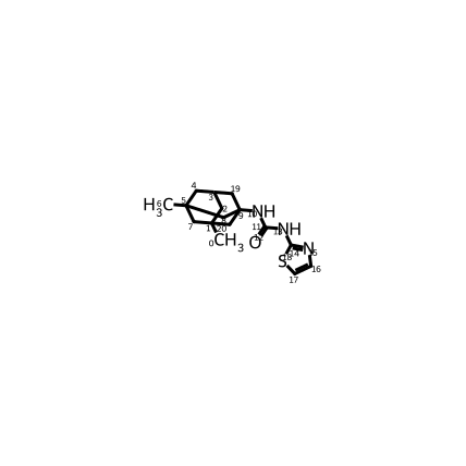 CC12CC3CC(C)(C1)CC(NC(=O)Nc1nccs1)(C3)C2